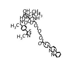 Cc1ncsc1-c1ccc([C@H](C)NC(=O)C2CC(O)CN2C(=O)[C@@H](NC(=O)COCCOCCOCC(=O)N2CCN(c3ccn4c(n3)nc3ccccc34)CC2)C(C)(C)C)cc1